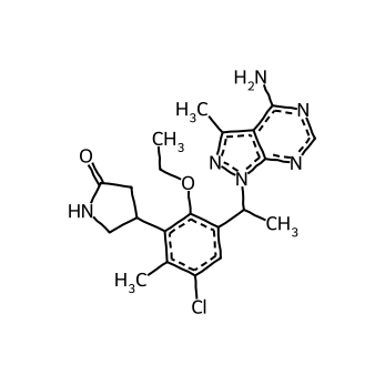 CCOc1c(C(C)n2nc(C)c3c(N)ncnc32)cc(Cl)c(C)c1C1CNC(=O)C1